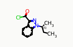 CC[C@H](C)n1nc(C(=O)Cl)c2ccccc21